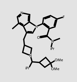 COC1(OC)CC(C(C(C)C)N2CC(Cc3cn(-c4ccc(F)cc4C(=O)N(C)C(C)C)c4cncc(C)c34)C2)C1